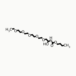 CCCCOC(=O)NC(O)COCCOCCOCCOCCOCC